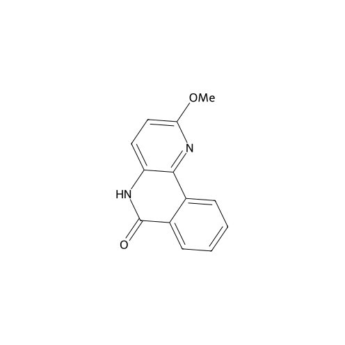 COc1ccc2[nH]c(=O)c3ccccc3c2n1